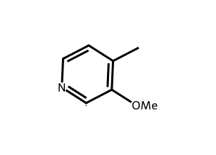 COc1[c]nccc1C